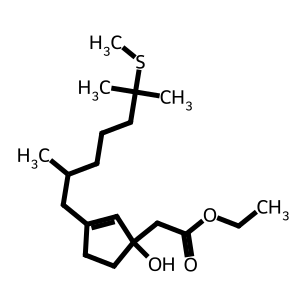 CCOC(=O)CC1(O)C=C(CC(C)CCCC(C)(C)SC)CC1